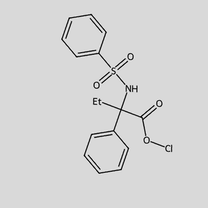 CCC(NS(=O)(=O)c1ccccc1)(C(=O)OCl)c1ccccc1